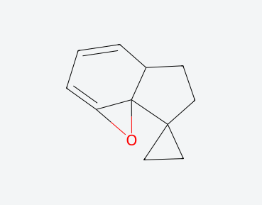 C1=CC2CCC3(CC3)C23OC3=C1